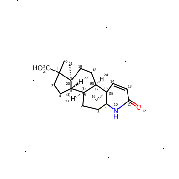 CC1(C(=O)O)CC[C@H]2[C@@H]3CCC4NC(=O)C=C[C@]4(C)[C@@H]3CC[C@@]21C